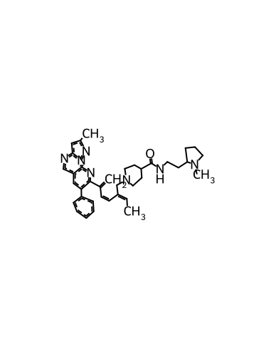 C=C(/C=C\C(=C/C)CN1CCC(C(=O)NCCC2CCCN2C)CC1)c1nc2c(cnc3cc(C)nn32)cc1-c1ccccc1